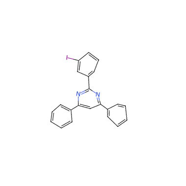 Ic1cccc(-c2nc(-c3ccccc3)cc(-c3ccccc3)n2)c1